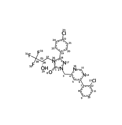 O=c1n(Cc2cc(-c3ccccc3Cl)ncn2)nc(-c2ccc(Cl)cc2)n1C[C@H](O)C(F)(F)F